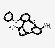 Nc1ccc2cc1oc1cccc(Oc3ccccc3)c1c1cc2ccc1N